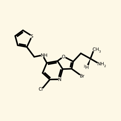 [2H][C@@](C)(N)Cc1oc2c(NCc3cccs3)cc(Cl)nc2c1Br